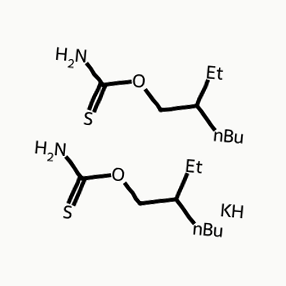 CCCCC(CC)COC(N)=S.CCCCC(CC)COC(N)=S.[KH]